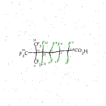 O=C(O)C(F)(F)C(F)(F)C(F)(F)C(F)(F)C(C(F)(F)F)(C(F)(F)F)C(F)(F)F